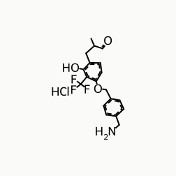 CC(C=O)Cc1ccc(OCc2ccc(CN)cc2)c(C(F)(F)F)c1O.Cl